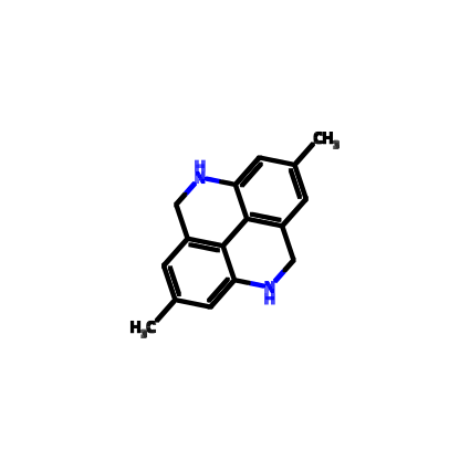 Cc1cc2c3c(c1)NCc1cc(C)cc(c1-3)NC2